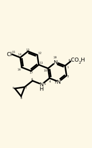 O=C(O)c1cnc(NCC2CC2)c(-c2ccc(Cl)cc2)n1